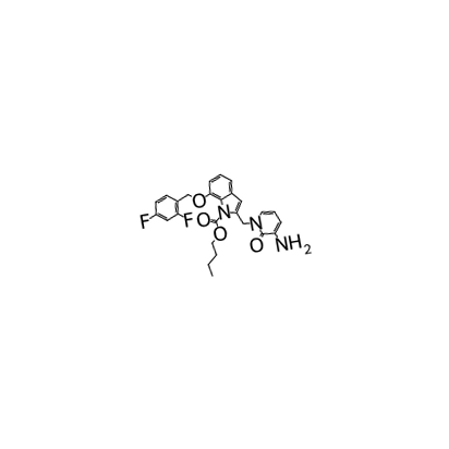 CCCCOC(=O)n1c(Cn2cccc(N)c2=O)cc2cccc(OCc3ccc(F)cc3F)c21